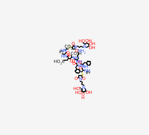 CC(C)CC(NC(=O)C(CCC(=O)O)C(=O)C(CC(=O)O)NC(=O)C(CCCCN)NC(=O)C(Cc1ccccc1)NC(=O)C(Cc1ccccc1)NC(=O)C(CSC1CC(=O)N(CCCCN2C[C@H](O)[C@@H](O)[C@H](O)[C@H]2CO)C1=O)NC(C)C)C(=O)NC(CSC1CC(=O)N(CCCCN2CC(O)C(O)C(O)C2CO)C1=O)C(=O)O